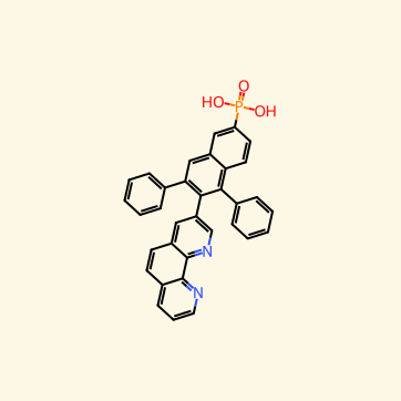 O=P(O)(O)c1ccc2c(-c3ccccc3)c(-c3cnc4c(ccc5cccnc54)c3)c(-c3ccccc3)cc2c1